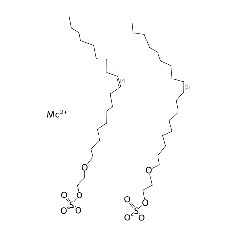 CCCCCCCC/C=C\CCCCCCCCOCCOS(=O)(=O)[O-].CCCCCCCC/C=C\CCCCCCCCOCCOS(=O)(=O)[O-].[Mg+2]